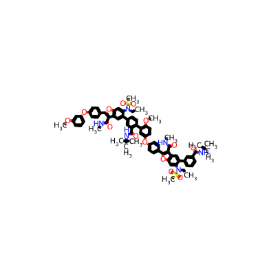 CCN(c1cc2oc(-c3ccc(Oc4ccc(OC)c(-c5ccc(-c6cc7c(C(=O)NC)c(-c8ccc(Oc9cccc(OC)c9)cc8)oc7cc6N(CC)S(C)(=O)=O)cc5C(=O)NC(C)(C)C)c4)cc3)c(C(=O)NC)c2cc1-c1cccc(C(=O)NC(C)(C)C)c1)S(C)(=O)=O